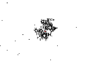 CSCC[C@H](NC(=O)CC1CCCC1)C(=O)C1(N)C(=O)N(C)c2ccccc2N(C)C1=O.CSCC[C@H](NC(=O)CC1CCCC1)C(=O)C1(N)C(=O)N(CC2CC2)c2ccccc2N(CC2CC2)C1=O